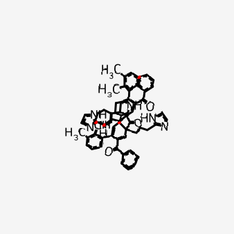 Cc1cccc(C2=CC(C3CCCNC3)C(CCCc3ncc[nH]3)(C(=O)C3(CCCc4ncc[nH]4)C=C(C(=O)c4ccccc4)C(c4cccc(C)c4C)=CC3C3CCCNC3)C=C2C(=O)c2ccccc2)c1C